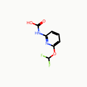 O=C(O)Nc1cccc(OC(F)F)n1